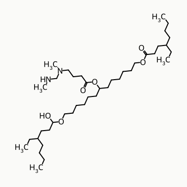 CCCCC(CC)CCC(=O)OCCCCCCC(CCCCCCOC(O)CCC(CC)CCCC)OC(=O)CCCN(C)CNC